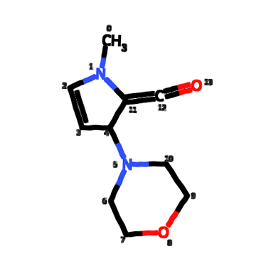 CN1C=CC(N2CCOCC2)C1=C=O